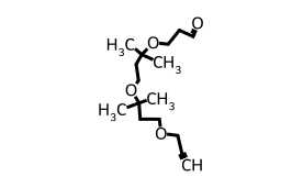 C#CCOCCC(C)(C)OCCC(C)(C)OCCC=O